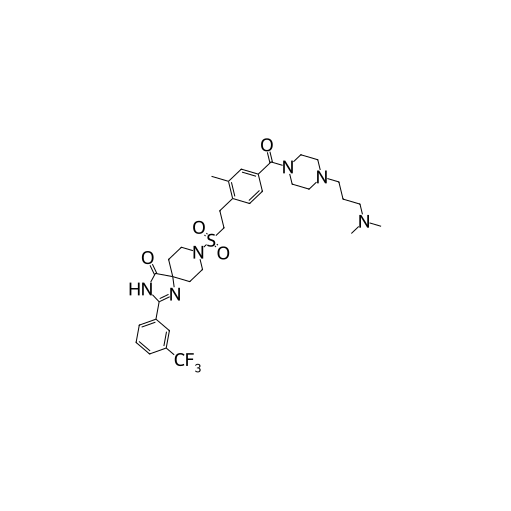 Cc1cc(C(=O)N2CCN(CCCN(C)C)CC2)ccc1CCS(=O)(=O)N1CCC2(CC1)N=C(c1cccc(C(F)(F)F)c1)NC2=O